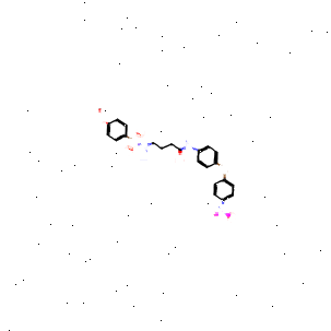 COc1ccc(S(=O)(=O)NCCCC(=O)Nc2ccc(Sc3ccc([N+](=O)[O-])cc3)cc2)cc1